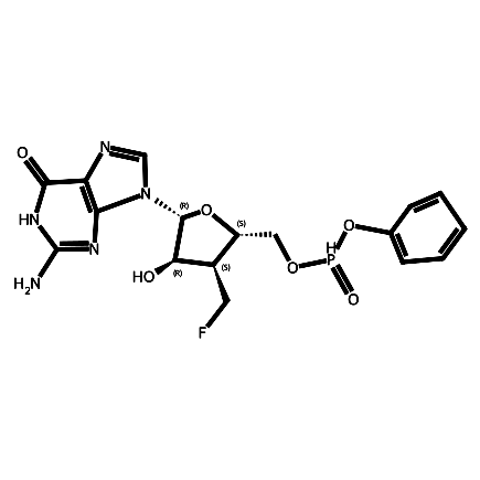 Nc1nc2c(ncn2[C@@H]2O[C@H](CO[PH](=O)Oc3ccccc3)[C@@H](CF)[C@H]2O)c(=O)[nH]1